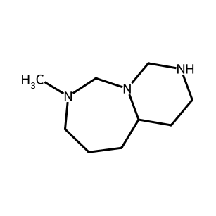 CN1CCCC2CCNCN2C1